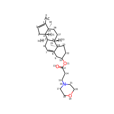 CC(=O)C1=CC[C@H]2[C@@H]3CC=C4CC(OC(=O)CCN5CCOCC5)CC[C@]4(C)[C@H]3CC[C@]12C